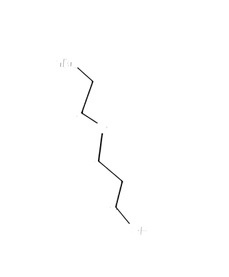 CCCCCCOCC[CH]O